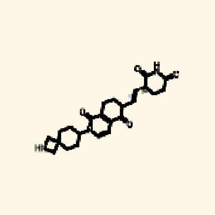 O=C1CC[C@@H](/C=C/C2CCc3c(ccn(C4CCC5(CC4)CNC5)c3=O)C2=O)C(=O)N1